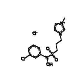 C[n+]1ccn(CCCS(=O)(=O)N(O)c2cccc(Cl)c2)c1.[Cl-]